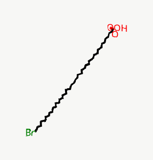 O=C(O)C(=O)CCCCCCCCCCCCCCCCCCCCCCCCCCCCCCCCCCCCCCCCBr